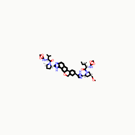 CC[C@@H](C)[C@H](NC1OCO1)C(=O)N1C[C@@H](COC)C[C@H]1c1ncc(-c2ccc3c(c2)COc2cc4c(ccc5nc([C@@H]6CC[C@H](C)N6C(=O)[C@@H](NC6OCO6)C(C)C)[nH]c54)cc2-3)[nH]1